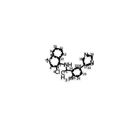 CC(Nc1c(Cl)cnc2ccccc12)c1cc(-c2cncnc2)ccc1F